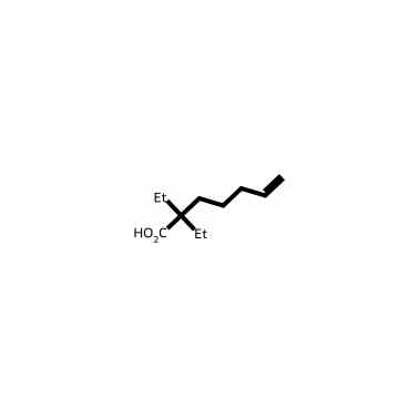 C=CCCCC(CC)(CC)C(=O)O